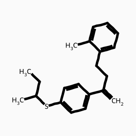 C=C(CCc1ccccc1C)c1ccc(SC(C)CC)cc1